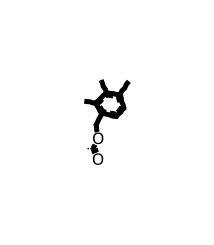 Cc1ccc(CO[C]=O)c(C)c1C